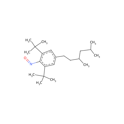 CC(C)CC(C)CCc1cc(C(C)(C)C)c(N=O)c(C(C)(C)C)c1